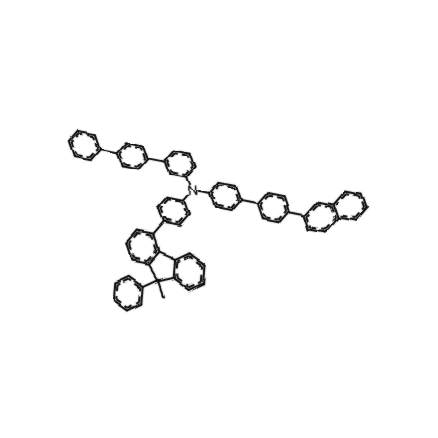 CC1(c2ccccc2)c2ccccc2-c2c(-c3ccc(N(c4ccc(-c5ccc(-c6ccc7ccccc7c6)cc5)cc4)c4cccc(-c5ccc(-c6ccccc6)cc5)c4)cc3)cccc21